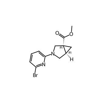 COC(=O)[C@]12C[C@H]1CN(c1cccc(Br)n1)C2